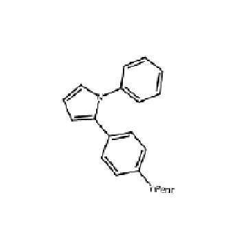 CCCCCc1ccc(-c2cccn2-c2ccccc2)cc1